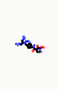 CC(C)CC(C(=O)NO)C(=O)Nc1ccc(CN(N)/C(=C\N)CN)cc1